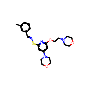 Cc1cccc(/C=N/Sc2cc(N3CCOCC3)cc(OCCN3CCOCC3)n2)c1